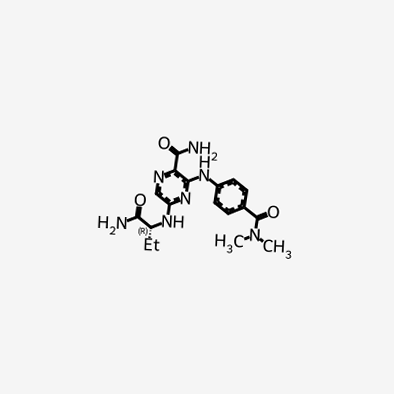 CC[C@@H](Nc1cnc(C(N)=O)c(Nc2ccc(C(=O)N(C)C)cc2)n1)C(N)=O